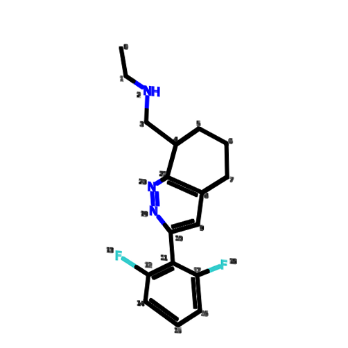 CCNCC1CCCc2cc(-c3c(F)cccc3F)nnc21